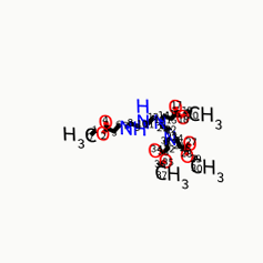 CCOC(=O)CCNCCNCCN(CCC(=O)OCC)CCN(CCC(=O)OCC)CCC(=O)OCC